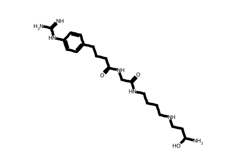 N=C(N)Nc1ccc(CCCC(=O)NCC(=O)NCCCCNCCC(N)O)cc1